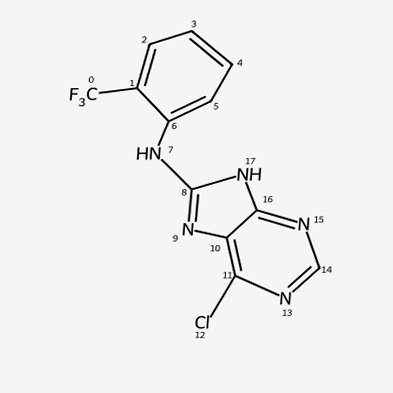 FC(F)(F)c1ccccc1Nc1nc2c(Cl)ncnc2[nH]1